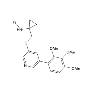 CCNC1(COc2cncc(-c3ccc(OC)c(OC)c3OC)c2)CC1